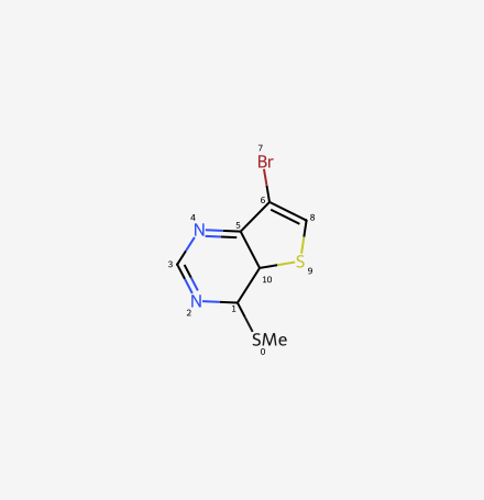 CSC1N=CN=C2C(Br)=CSC21